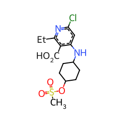 CCc1nc(Cl)cc(NC2CCC(OS(C)(=O)=O)CC2)c1C(=O)O